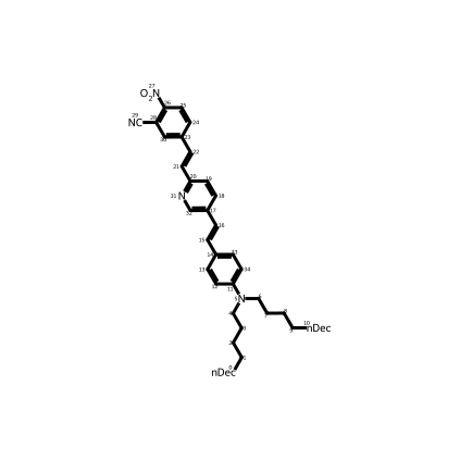 CCCCCCCCCCCCCCN(CCCCCCCCCCCCCC)c1ccc(C=Cc2ccc(C=Cc3ccc([N+](=O)[O-])c(C#N)c3)nc2)cc1